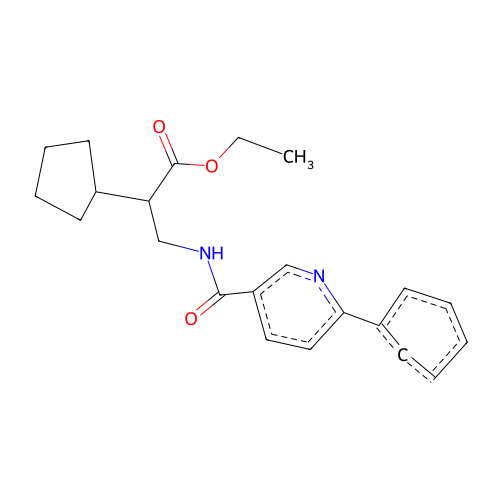 CCOC(=O)C(CNC(=O)c1ccc(-c2ccccc2)nc1)C1CCCC1